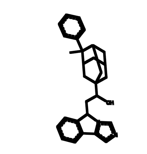 CC1(c2ccccc2)C2CC3CC1CC(C(O)CC1c4ccccc4-c4cncn41)(C3)C2